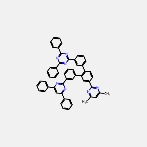 Cc1cc(C)nc(-c2ccc(-c3cccc(-c4nc(-c5ccccc5)nc(-c5ccccc5)n4)c3)c(-c3cccc(-c4nc(-c5ccccc5)cc(-c5ccccc5)n4)c3)c2)n1